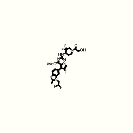 COc1nc(N[C@@H]2CCN(C(=O)CO)CC2(F)F)nn2cc(F)c(-c3ccc4nc(C)n(CC(F)F)c4c3)c12